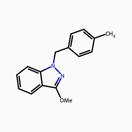 COc1nn(Cc2ccc(C)cc2)c2ccccc12